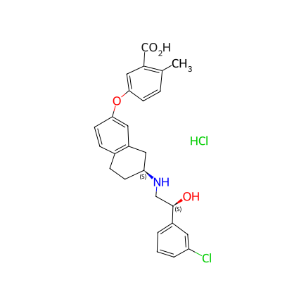 Cc1ccc(Oc2ccc3c(c2)C[C@@H](NC[C@@H](O)c2cccc(Cl)c2)CC3)cc1C(=O)O.Cl